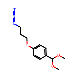 COC(OC)c1ccc(OCCCN=[N+]=[N-])cc1